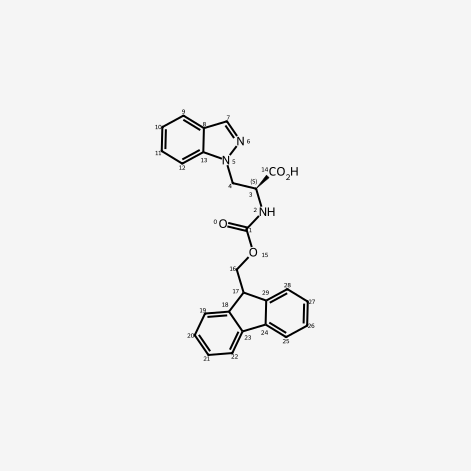 O=C(N[C@@H](Cn1ncc2ccccc21)C(=O)O)OCC1c2ccccc2-c2ccccc21